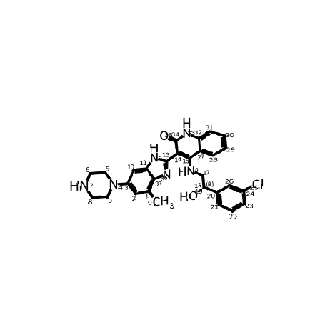 Cc1cc(N2CCNCC2)cc2[nH]c(-c3c(NC[C@H](O)c4cccc(Cl)c4)c4ccccc4[nH]c3=O)nc12